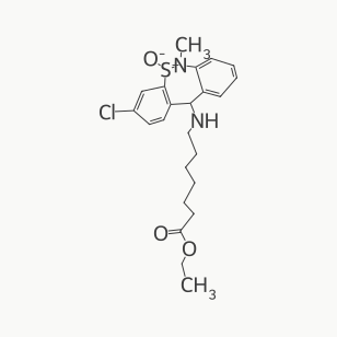 CCOC(=O)CCCCCCNC1c2ccccc2N(C)[S+]([O-])c2cc(Cl)ccc21